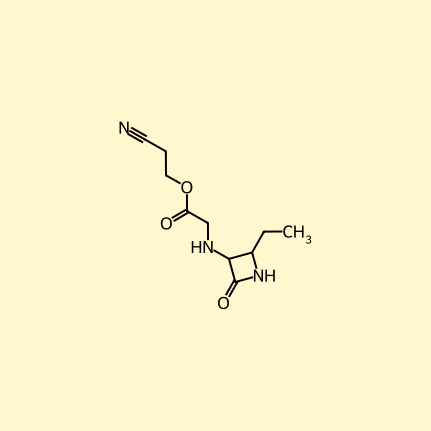 CCC1NC(=O)C1NCC(=O)OCCC#N